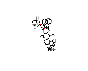 CNS(=O)(=O)c1ccc(Cl)c(C(=O)N2CCC(CCN3[C@@H]4CC[C@H]3CC(n3c(C)nc5ccccc53)C4)(c3ccccc3)CC2)c1Cl